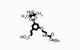 CC(C)(C)OC(=O)NCCOc1cc(/C=C/C(=O)O)cc(B2OC(C)(C)C(C)(C)O2)c1